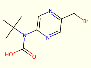 CC(C)(C)N(C(=O)O)c1cnc(CBr)cn1